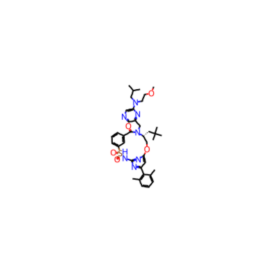 COCCN(CC(C)C)c1cncc(CN2C(=O)c3cccc(c3)S(=O)(=O)Nc3nc(cc(-c4c(C)cccc4C)n3)OC[C@H]2CC(C)(C)C)n1